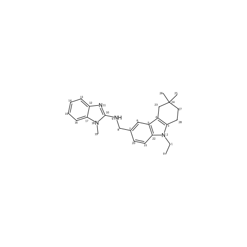 CCn1c2c(c3cc(CNc4nc5ccccc5n4C)ccc31)CC(C)(C)CC2